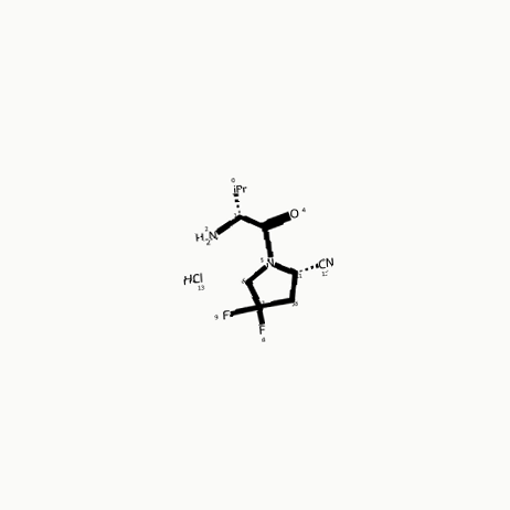 CC(C)[C@@H](N)C(=O)N1CC(F)(F)C[C@H]1C#N.Cl